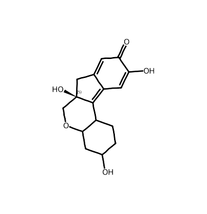 O=C1C=C2C[C@@]3(O)COC4CC(O)CCC4C3=C2C=C1O